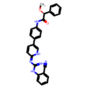 CO[C@H](C(=O)Nc1ccc(-c2cc/c(=N/C(=N)Nc3ccccc3C#N)[nH]c2)cc1)c1ccccc1